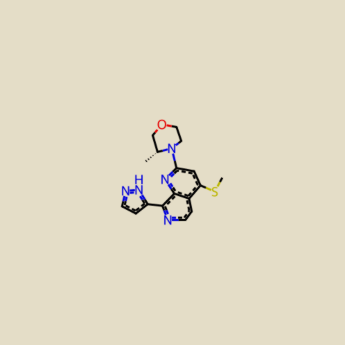 CSc1cc(N2CCOC[C@H]2C)nc2c(-c3ccn[nH]3)nccc12